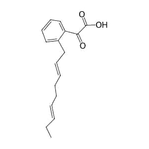 CCC=CCCC=CCc1ccccc1C(=O)C(=O)O